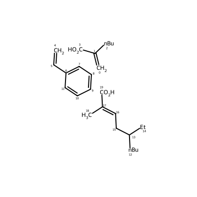 C=C(CCCC)C(=O)O.C=Cc1ccccc1.CCCCC(CC)CC=C(C)C(=O)O